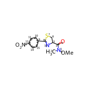 CON(C)C(=O)C1CSC(c2ccc([N+](=O)[O-])cc2)=N1